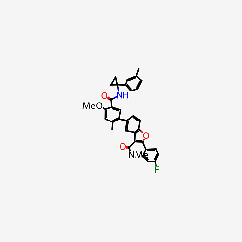 CNC(=O)c1c(-c2ccc(F)cc2)oc2ccc(-c3cc(C(=O)NC4(c5cccc(C)c5)CC4)c(OC)cc3C)cc12